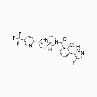 O=C(c1cccc(-c2[nH]ncc2F)c1Cl)N1CCN2C[C@@H](c3ccc(C(F)(F)F)cn3)CC[C@@H]2C1